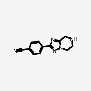 N#Cc1ccc(-c2nc3n(n2)CCNC3)cc1